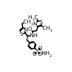 CCc1csc([C@H](Cc2ccc(S(=O)(=O)ON)cc2)NC(=O)Cc2nc(C)sc2C)n1